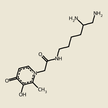 Cc1c(O)c(=O)ccn1CC(=O)NCCCCC(N)CN